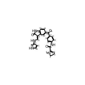 CN1CCN=C1C(=O)Nc1ccc(C(=O)c2ccc3c(c2)/C(=C/Nc2cc[nH]n2)C(=O)N3)cc1